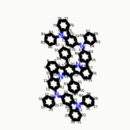 c1ccc(-c2c3c4cccc5c6ccc(N(c7ccccc7)c7ccc8c(c7)c7ccccc7n8-c7ccccc7)cc6n(c3c(-c3ccccc3)c3c6cccc7c8ccc(N(c9ccccc9)c9ccc%10c(c9)c9ccccc9n%10-c9ccccc9)cc8n(c23)c76)c54)cc1